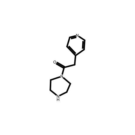 O=C(Cc1ccncc1)N1CCNCC1